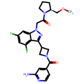 Nc1cc(C(=O)N2CC(c3nn(CC(=O)N4CCC[C@H]4COC(F)(F)F)c4cc(F)cc(F)c34)C2)ccn1